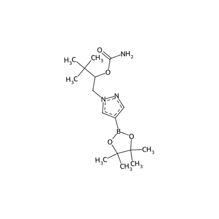 CC(C)(C)C(Cn1cc(B2OC(C)(C)C(C)(C)O2)cn1)OC(N)=O